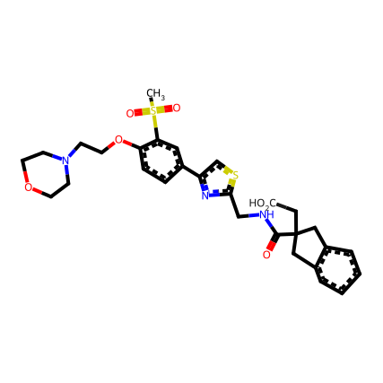 CS(=O)(=O)c1cc(-c2csc(CNC(=O)C3(CC(=O)O)Cc4ccccc4C3)n2)ccc1OCCN1CCOCC1